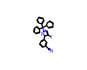 N#Cc1cccc(-c2nn(C(c3ccccc3)(c3ccccc3)C3C=CC=CC3)cc2I)c1